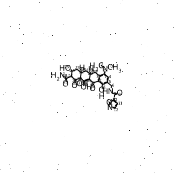 CN(C)c1cc(CNC(=O)c2ccno2)c(O)c2c1C[C@H]1C[C@H]3CC(O)C(C(N)=O)C(=O)[C@@]3(O)C(O)=C1C2=O